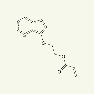 C=CC(=O)OCCSc1ccc2cccsc1-2